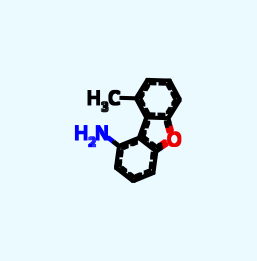 Cc1cccc2oc3cccc(N)c3c12